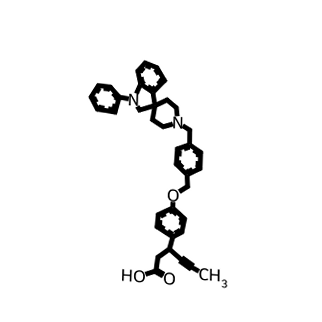 CC#CC(CC(=O)O)c1ccc(OCc2ccc(CN3CCC4(CC3)CN(c3ccccc3)c3ccccc34)cc2)cc1